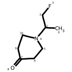 CC(CF)N1CCC(=O)CC1